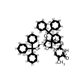 Cc1cn([C@@H]2O[C@H](COC(c3ccccc3)(c3ccccc3)c3ccccc3)[C@@H](OC(c3ccccc3)(c3ccccc3)c3ccccc3)[C@H]2I)c(=O)[nH]c1=O